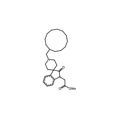 COC(=O)CN1C(=O)C2(CCN(CC3CCCCCCCCCCC3)CC2)c2ccccc21